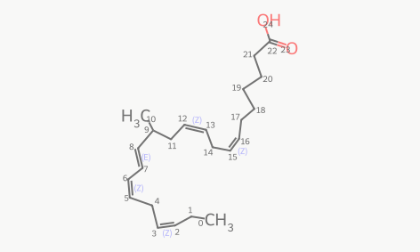 CC/C=C\C/C=C\C=C\C(C)C/C=C\C/C=C\CCCCCC(=O)O